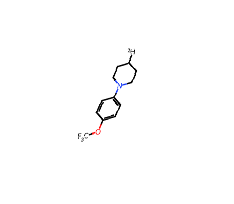 [2H]C1CCN(c2ccc(OC(F)(F)F)cc2)CC1